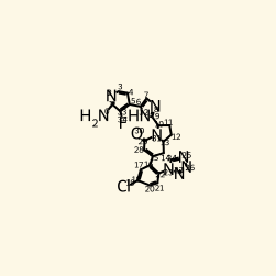 Nc1nccc(-c2cnc(C3CCC4CC(c5cc(Cl)ccc5-n5cnnn5)=CC(=O)N43)[nH]2)c1F